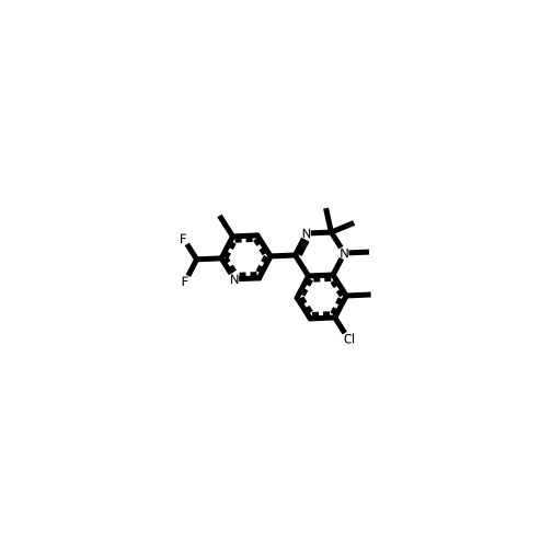 Cc1cc(C2=NC(C)(C)N(C)c3c2ccc(Cl)c3C)cnc1C(F)F